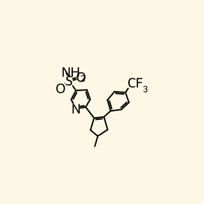 CC1CC(c2ccc(C(F)(F)F)cc2)=C(c2ccc(S(N)(=O)=O)cn2)C1